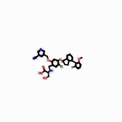 COc1cccc(F)c1-c1cccc2c1CC[C@@H]2Oc1cc(OCc2cncc(C#N)c2)c(CN[C@@H](CO)C(=O)O)cc1Cl